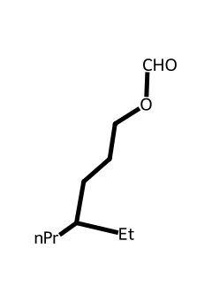 CCCC(CC)CCCOC=O